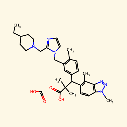 CCC1CCN(Cc2nccn2Cc2cc(C(c3ccc4c(nnn4C)c3C)C(C)(C)C(=O)O)ccc2C)CC1.O=CO